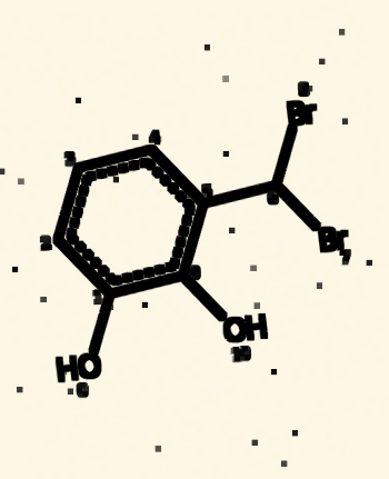 Oc1cccc(C(Br)Br)c1O